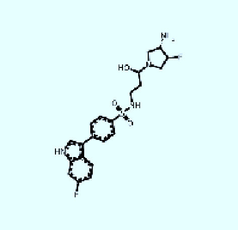 N[C@H]1CN(C(O)CCNS(=O)(=O)c2ccc(-c3c[nH]c4cc(F)ccc34)cc2)C[C@@H]1F